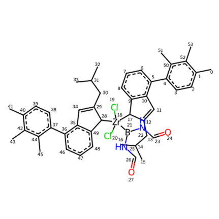 Cc1ccc(-c2cccc3c2C=C(CC(C)C)[CH]3[Zr]([Cl])([Cl])([B](NC=O)NC=O)[CH]2C(CC(C)C)=Cc3c(-c4ccc(C)c(C)c4C)cccc32)c(C)c1C